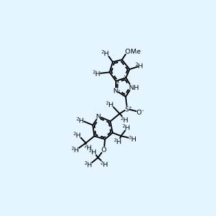 [2H]c1nc(C([2H])([2H])[S+]([O-])c2nc3c([2H])c([2H])c(OC)c([2H])c3[nH]2)c(C([2H])([2H])[2H])c(OC([2H])([2H])[2H])c1C([2H])([2H])[2H]